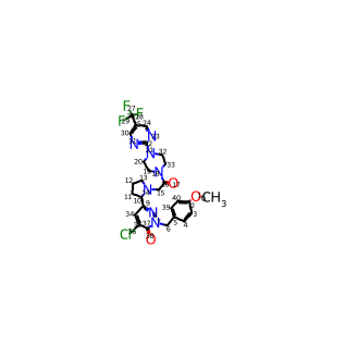 COc1ccc(Cn2nc(C3CCCN3CC(=O)N3CCN(c4ncc(C(F)(F)F)cn4)CC3)cc(Cl)c2=O)cc1